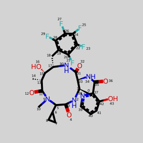 C[C@H]1NC(=O)C(C2CC2)N(C)C(=O)[C@H](C)[C@H](O)[C@H](Cc2c(F)c(F)c(F)c(F)c2F)NC(=O)[C@H]1NC(=O)c1ncccc1O